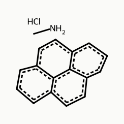 CN.Cl.c1cc2ccc3cccc4ccc(c1)c2c34